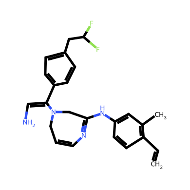 C=Cc1ccc(NC2=NC=CCN(/C(=C\N)c3ccc(CC(F)F)cc3)C2)cc1C